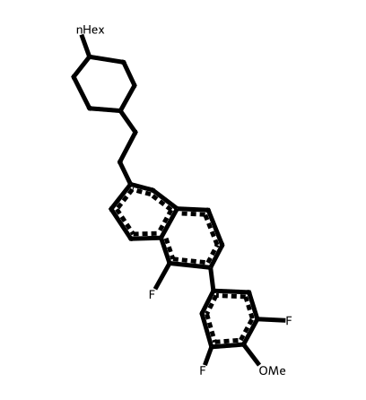 CCCCCCC1CCC(CCc2ccc3c(F)c(-c4cc(F)c(OC)c(F)c4)ccc3c2)CC1